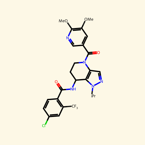 COc1cc(C(=O)N2CCC(NC(=O)c3ccc(Cl)cc3C(F)(F)F)c3c2cnn3C(C)C)cnc1OC